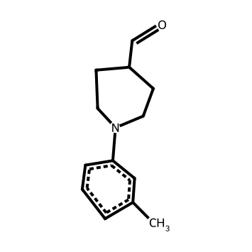 Cc1cccc(N2CCC(C=O)CC2)c1